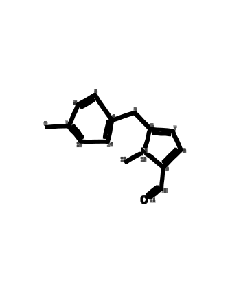 Cc1ccc(Cc2ccc(C=O)n2C)cc1